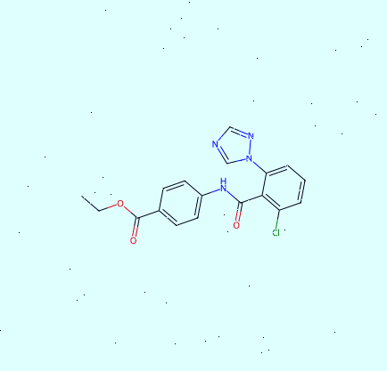 CCOC(=O)c1ccc(NC(=O)c2c(Cl)cccc2-n2cncn2)cc1